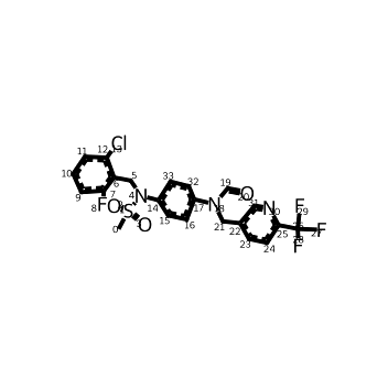 CS(=O)(=O)N(Cc1c(F)cccc1Cl)c1ccc(N(C=O)Cc2ccc(C(F)(F)F)nc2)cc1